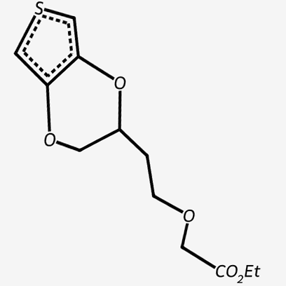 CCOC(=O)COCCC1COc2cscc2O1